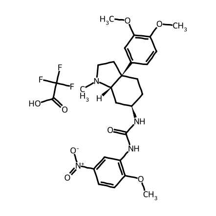 COc1ccc([N+](=O)[O-])cc1NC(=O)N[C@@H]1CC[C@@]2(c3ccc(OC)c(OC)c3)CCN(C)[C@H]2C1.O=C(O)C(F)(F)F